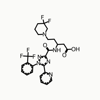 O=C(O)CC(CCN1CCCC(F)(F)C1)NC(=O)c1nc(-c2ccccn2)n(-c2ccccc2C(F)(F)F)n1